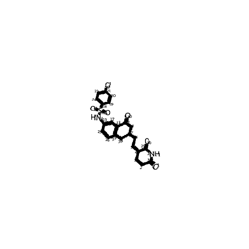 O=C1CCC(CCC2CC(=O)c3cc(NS(=O)(=O)c4ccc(Cl)cc4)ccc3C2)C(=O)N1